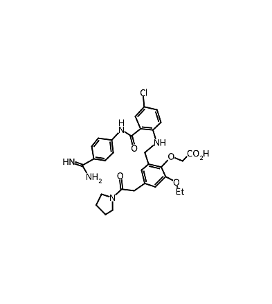 CCOc1cc(CC(=O)N2CCCC2)cc(CNc2ccc(Cl)cc2C(=O)Nc2ccc(C(=N)N)cc2)c1OCC(=O)O